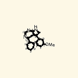 COc1cccc(-c2c[nH]c3ncnc(-c4ccccc4)c23)c1